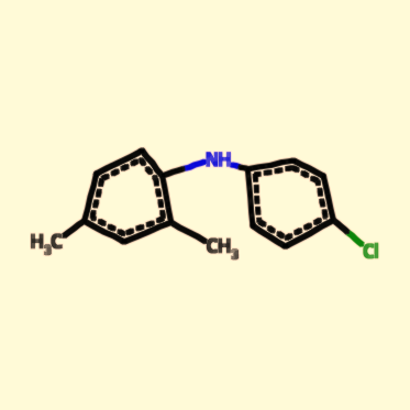 Cc1ccc(Nc2ccc(Cl)cc2)c(C)c1